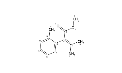 COC(=O)C(=C(C)N)c1ccccc1C